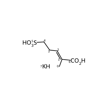 CC(=CCCS(=O)(=O)O)C(=O)O.[KH]